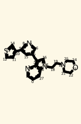 c1cnc2c(-c3cncc(-c4ccsc4)c3)cn(CCN3CCOCC3)c2c1